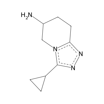 NC1CCc2nnc(C3CC3)n2C1